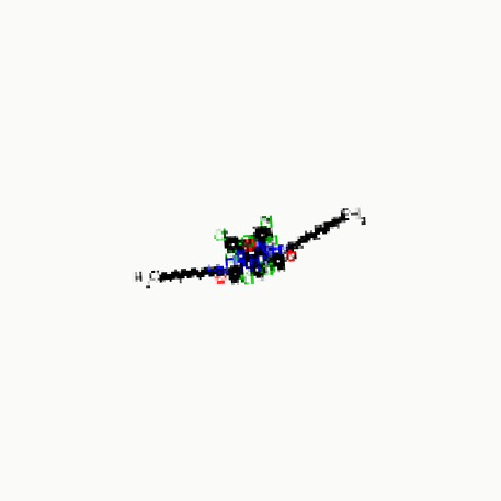 CCCCCCCCCCCCCC(=O)Nc1ccc(Cl)c(Nc2[nH]n(-c3c(Cl)cc(Cl)cc3Cl)c(=O)c2C(c2ccccc2Cl)c2c(Nc3cc(NC(=O)CCCCCCCCCCCCC)ccc3Cl)[nH]n(-c3c(Cl)cc(Cl)cc3Cl)c2=O)c1